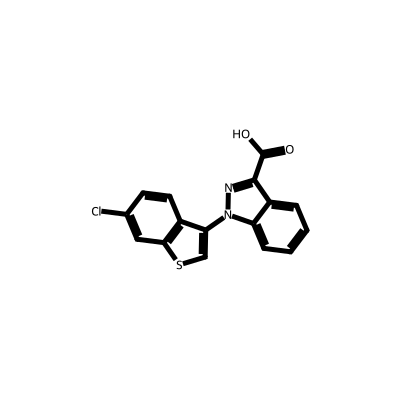 O=C(O)c1nn(-c2csc3cc(Cl)ccc23)c2ccccc12